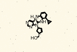 Nc1cccc(C2CC2)c1Nc1nc2cncnc2n1[C@H]1C=C[C@@H](CO)C1